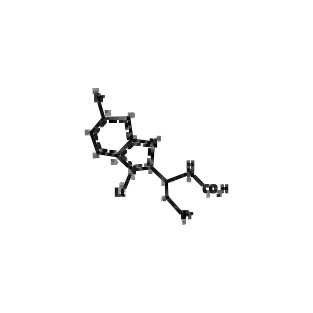 CCn1c(C(CC(C)C)NC(=O)O)nc2cc(Br)ccc21